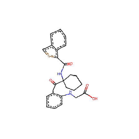 O=C(O)CNc1ccccc1C(=O)C1(NC(=O)c2scc3ccccc23)CCCCC1